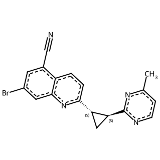 Cc1ccnc([C@H]2C[C@@H]2c2ccc3c(C#N)cc(Br)cc3n2)n1